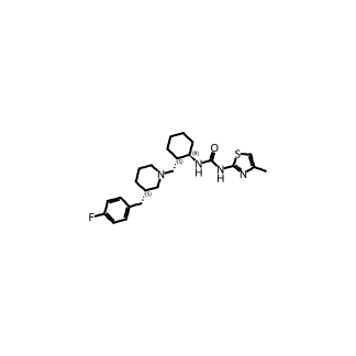 Cc1csc(NC(=O)N[C@@H]2CCCC[C@H]2CN2CCC[C@@H](Cc3ccc(F)cc3)C2)n1